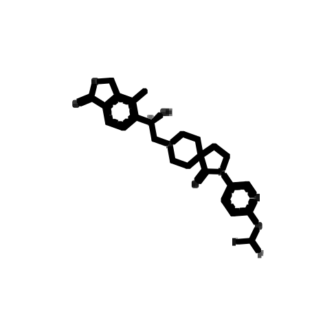 Cc1c([C@@H](O)CN2CCC3(CC2)CCN(c2ccc(OC(F)F)nc2)C3=O)ccc2c1COC2=O